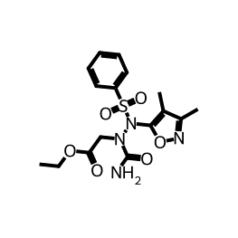 CCOC(=O)CN(C(N)=O)N(c1onc(C)c1C)S(=O)(=O)c1ccccc1